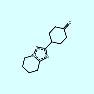 O=C1CCC(c2nc3n(n2)CCCC3)CC1